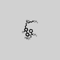 C=C(C1CCCCC1)N(CC)c1cc(-c2ccc(CCCN(C)CCCCC)cc2Cl)ccc1C